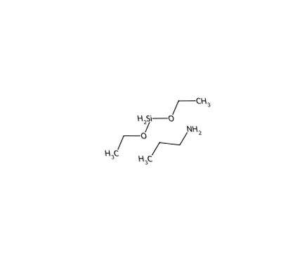 CCCN.CCO[SiH2]OCC